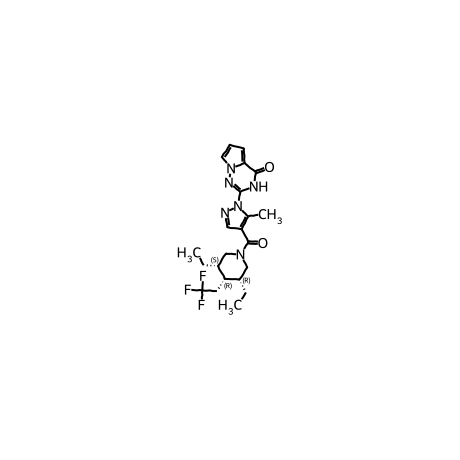 CC[C@@H]1CN(C(=O)c2cnn(-c3nn4cccc4c(=O)[nH]3)c2C)C[C@H](CC)[C@@H]1CC(F)(F)F